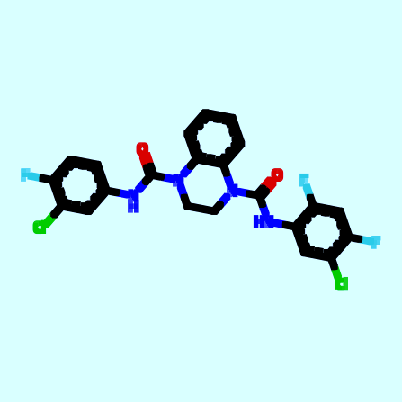 O=C(Nc1ccc(F)c(Cl)c1)N1CCN(C(=O)Nc2cc(Cl)c(F)cc2F)c2ccccc21